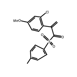 C=C(C(=O)S(=O)(=O)c1ccc(C)cc1)c1ccc(OC)cc1Cl